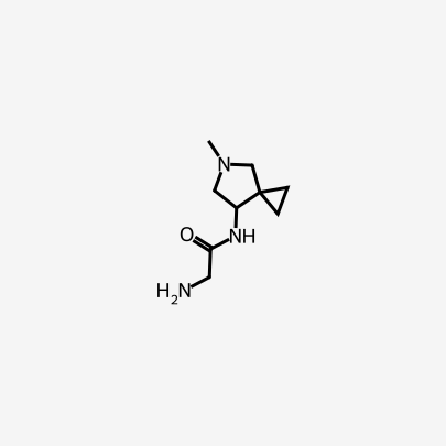 CN1CC(NC(=O)CN)C2(CC2)C1